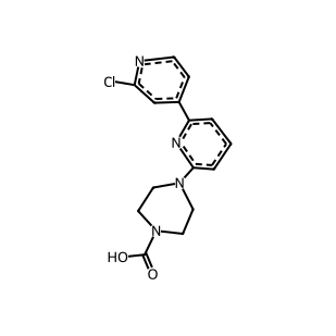 O=C(O)N1CCN(c2cccc(-c3ccnc(Cl)c3)n2)CC1